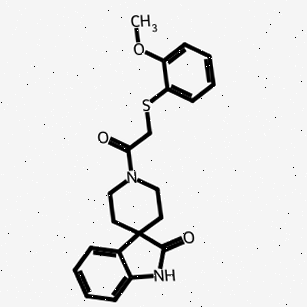 COc1ccccc1SCC(=O)N1CCC2(CC1)C(=O)Nc1ccccc12